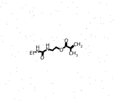 C=C(C)C(=O)OCCNC(=O)NCC